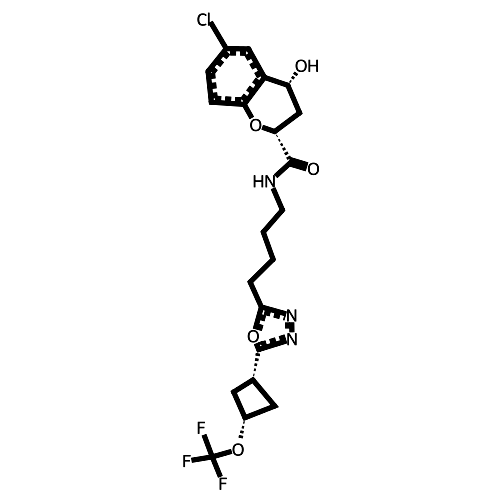 O=C(NCCCCc1nnc([C@H]2C[C@@H](OC(F)(F)F)C2)o1)[C@H]1C[C@@H](O)c2cc(Cl)ccc2O1